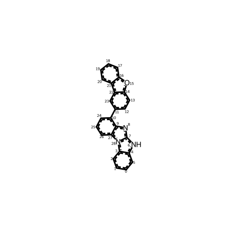 c1ccc2c(c1)[nH]c1nc3c(-c4ccc5oc6ccccc6c5c4)cccc3n12